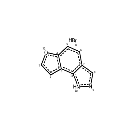 Br.c1cc2c(ccc3cn[nH]c32)o1